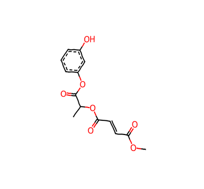 COC(=O)C=CC(=O)OC(C)C(=O)Oc1cccc(O)c1